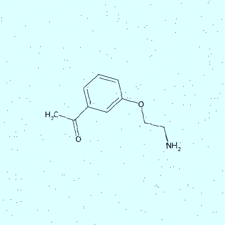 CC(=O)c1cccc(OCCN)c1